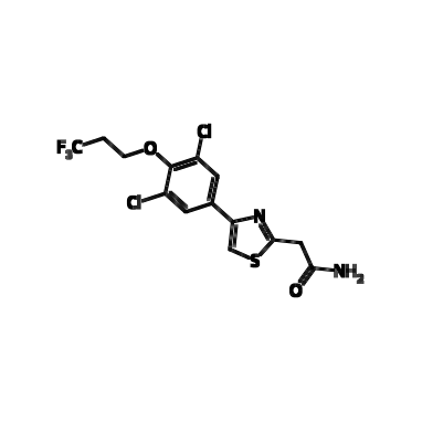 NC(=O)Cc1nc(-c2cc(Cl)c(OCCC(F)(F)F)c(Cl)c2)cs1